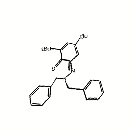 CC(C)(C)C1=CC(=NN(Cc2ccccc2)Cc2ccccc2)C(=O)C(C(C)(C)C)=C1